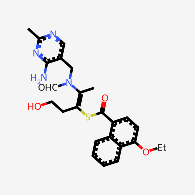 CCOc1ccc(C(=O)SC(CCO)=C(C)N(C=O)Cc2cnc(C)nc2N)c2ccccc12